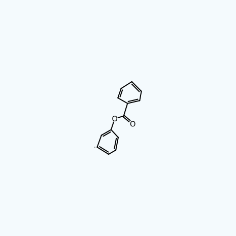 O=C(Oc1c[c]ccc1)c1ccccc1